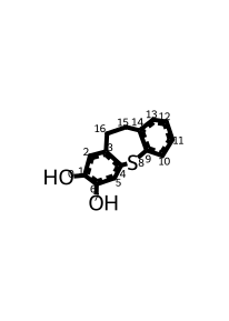 Oc1cc2c(cc1O)Sc1ccccc1CC2